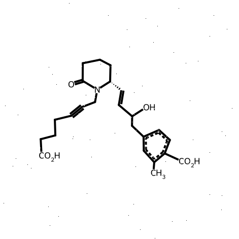 Cc1cc(CC(O)/C=C/[C@H]2CCCC(=O)N2CC#CCCCC(=O)O)ccc1C(=O)O